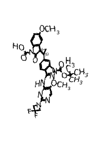 COc1ccc2c(c1)[C@]1(C[C@H]1c1ccc3c(Nc4nc(N5CC(F)(F)C5)ncc4OC)nn(C(=O)OC(C)(C)C)c3c1)C(=O)N2C(=O)O